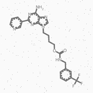 Nc1nc(-c2cccnc2)nc2c1ncn2CCCCOC(=O)NCc1cccc(C(F)(F)F)c1